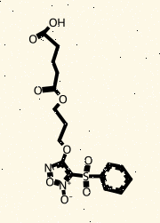 O=C(O)CCCC(=O)OCCCOc1no[n+]([O-])c1S(=O)(=O)c1ccccc1